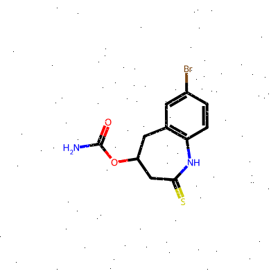 NC(=O)OC1CC(=S)Nc2ccc(Br)cc2C1